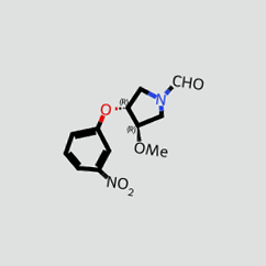 CO[C@@H]1CN(C=O)C[C@H]1Oc1cccc([N+](=O)[O-])c1